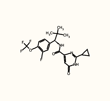 CC(C)(C)[C@@H](NC(=O)c1cc(=O)[nH]c(C2CC2)n1)c1ccc(OC(F)(F)F)c(F)c1